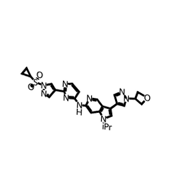 CC(C)n1cc(-c2cnn(C3COC3)c2)c2cnc(Nc3ccnc(-c4cnn(S(=O)(=O)C5CC5)c4)n3)cc21